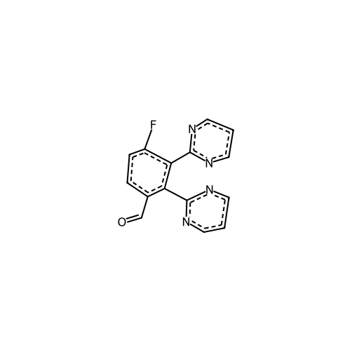 O=Cc1ccc(F)c(-c2ncccn2)c1-c1ncccn1